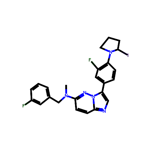 CN(Cc1cccc(F)c1)c1ccc2ncc(-c3ccc(N4CCCC4I)c(F)c3)n2n1